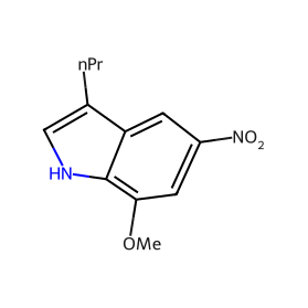 CCCc1c[nH]c2c(OC)cc([N+](=O)[O-])cc12